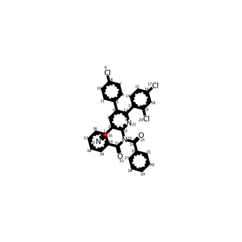 N#Cc1cc(-c2ccc(Cl)cc2)c(-c2ccc(Cl)cc2Cl)nc1N(C(=O)c1ccccc1)C(=O)c1ccccc1